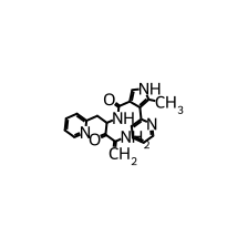 C=C(N)C(=O)C(Cc1ccccn1)NC(=O)c1c[nH]c(C)c1-c1ccccn1